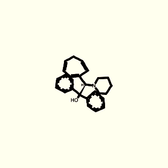 OC(c1ccccc1)(c1ccccc1)[C@@H](C1=CC=CCC=C1)N1CCCCC1